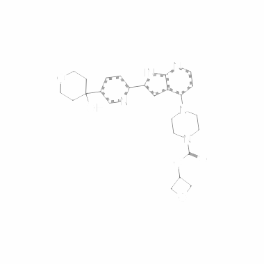 O=C(OC1COC1)N1CCN(c2ccnc3[nH]c(-c4ccc(C5(O)CCOCC5)cn4)cc23)CC1